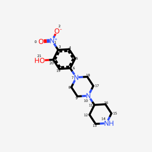 O=[N+]([O-])c1ccc(N2CCN(C3CCNCC3)CC2)cc1O